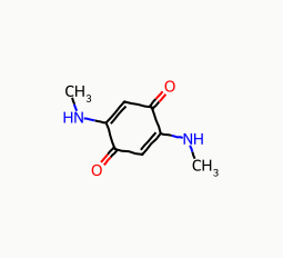 CNC1=CC(=O)C(NC)=CC1=O